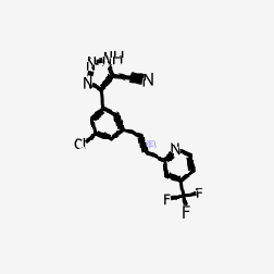 N#Cc1[nH]nnc1-c1cc(Cl)cc(/C=C/c2cc(C(F)(F)F)ccn2)c1